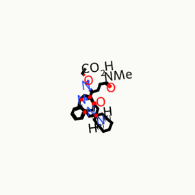 CNC(=O)CCC(=NOCC(=O)O)c1nc2ccccc2n([C@H]2C[C@H]3CCC[C@@H](C2)N3C2CC3CCCCC(C3)C2)c1=O